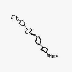 CCCCCCc1ccc(-c2ccc(C#CC3=CCC(C4CCC(CC)CC4)CC3)cc2)cc1